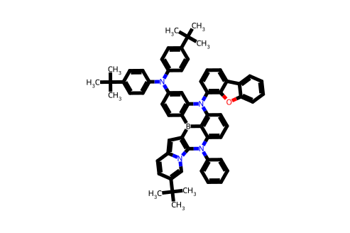 CC(C)(C)c1ccc(N(c2ccc(C(C)(C)C)cc2)c2ccc3c(c2)N(c2cccc4c2oc2ccccc24)c2cccc4c2B3c2cc3ccc(C(C)(C)C)cn3c2N4c2ccccc2)cc1